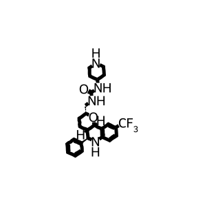 O=C(NC[C@H]1CC[C@@H]2[C@H](O1)c1cc(C(F)(F)F)ccc1N[C@H]2c1ccccc1)NC1CCNCC1